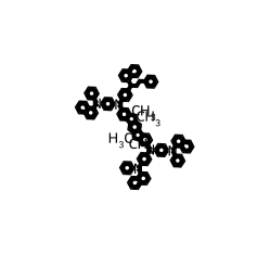 CC1(C)c2cc(N(c3ccc(C(CCc4ccccc4)c4cccc5ccccc45)cc3)c3ccc(N(c4ccccc4)c4cccc5ccccc45)cc3)ccc2-c2cc3c(cc21)-c1ccc(N(c2ccc(N(c4ccccc4)c4cccc5ccccc45)cc2)c2ccc(N(c4ccccc4)c4cccc5ccccc45)cc2)cc1C3(C)C